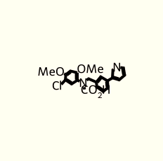 COc1cc(OC)c(N(Cc2cccc(-c3cccnc3)c2)C(=O)O)cc1Cl